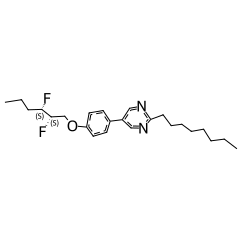 CCCCCCCCc1ncc(-c2ccc(OC[C@H](F)[C@@H](F)CCC)cc2)cn1